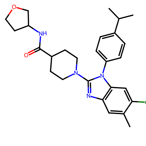 Cc1cc2nc(N3CCC(C(=O)NC4CCOC4)CC3)n(-c3ccc(C(C)C)cc3)c2cc1Cl